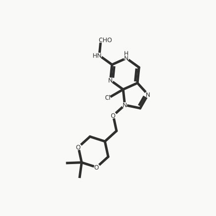 CC1(C)OCC(CON2C=NC3=CNC(NC=O)=NC32Cl)CO1